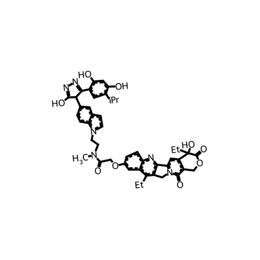 CCc1c2c(nc3ccc(OCC(=O)N(C)CCn4ccc5cc(C6C(O)=NN=C6c6cc(C(C)C)c(O)cc6O)ccc54)cc13)-c1cc3c(c(=O)n1C2)COC(=O)C3(O)CC